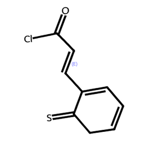 O=C(Cl)/C=C/C1=CC=CCC1=S